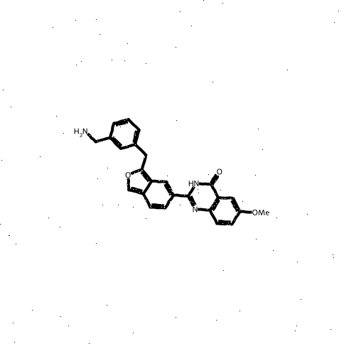 COc1ccc2nc(-c3ccc4coc(Cc5cccc(CN)c5)c4c3)[nH]c(=O)c2c1